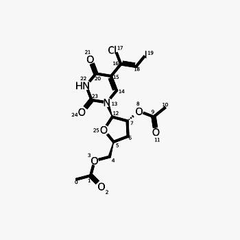 CC(=O)OC[C@@H]1C[C@@H](OC(C)=O)[C@H](n2cc(C(Cl)=CI)c(=O)[nH]c2=O)O1